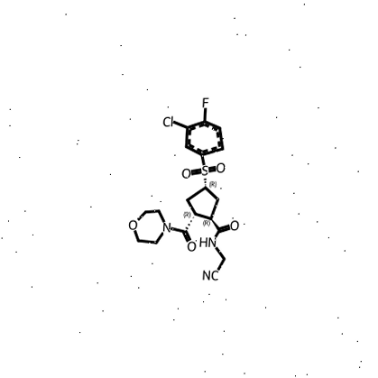 N#CCNC(=O)[C@@H]1C[C@@H](S(=O)(=O)c2ccc(F)c(Cl)c2)C[C@H]1C(=O)N1CCOCC1